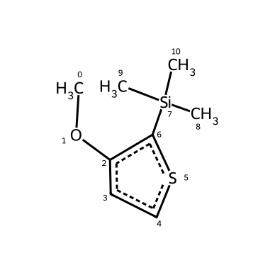 COc1ccsc1[Si](C)(C)C